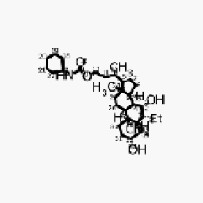 CC[C@H]1[C@@H](O)C2[C@@H]3CC[C@H]([C@H](C)CCOC(=O)NC4CCCCC4)C3(C)CC[C@@H]2C2(C)CC[C@@H](O)C[C@@H]12